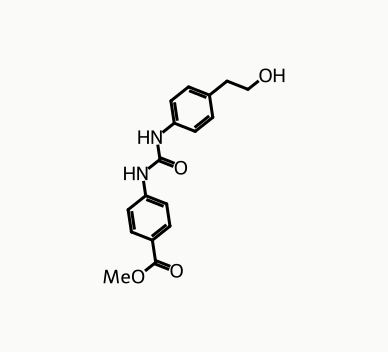 COC(=O)c1ccc(NC(=O)Nc2ccc(CCO)cc2)cc1